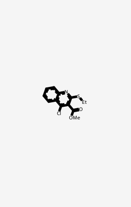 CCSc1nc2ccccc2c(Cl)c1C(=O)OC